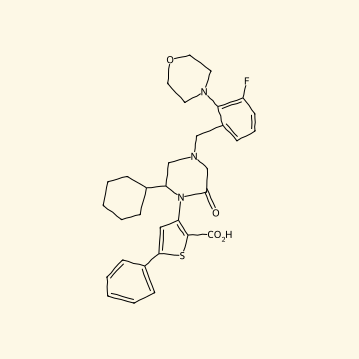 O=C(O)c1sc(-c2ccccc2)cc1N1C(=O)CN(Cc2cccc(F)c2N2CCOCC2)CC1C1CCCCC1